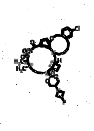 C[C@@H]1[C@@H](C)CCC[C@@H]([C@H]2OC[C@H](N3CC(F)C3)CO2)[C@@H]2CC[C@H]2CN2CCCCc3cc(Cl)ccc3COc3ccc(cc32)C(=O)NS1(=O)=O